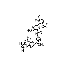 Cc1cc(C(C)n2cc(NC(=O)c3nc(-c4c(OC(F)F)ccc(Cl)c4F)cnc3CO)cn2)cnc1N1C[C@H]2C[C@H]2C1=O